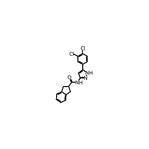 O=C(Nc1cc(-c2ccc(Cl)c(Cl)c2)[nH]n1)C1Cc2ccccc2C1